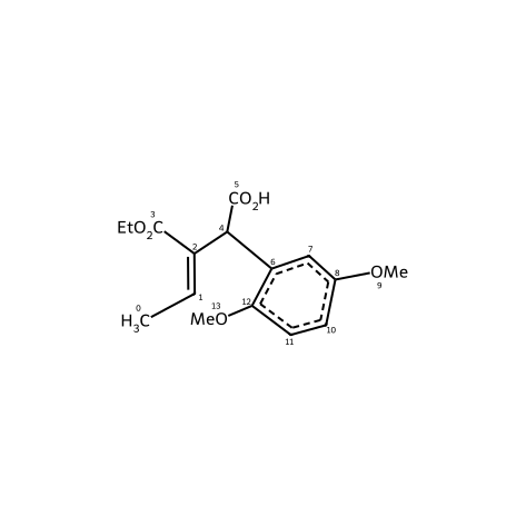 CC=C(C(=O)OCC)C(C(=O)O)c1cc(OC)ccc1OC